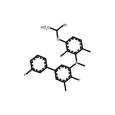 Cc1cc(-c2cccc(F)c2)cc(N(C)c2c(C)ccc(OC(C(=O)O)C(C)C)c2C)c1F